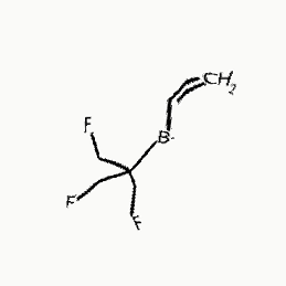 C=C[B]C(F)(F)F